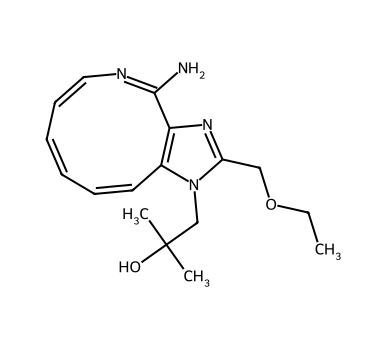 CCOCc1nc2c(N)nccccccc2n1CC(C)(C)O